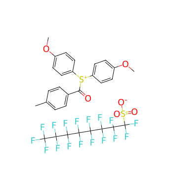 COc1ccc([S+](C(=O)c2ccc(C)cc2)c2ccc(OC)cc2)cc1.O=S(=O)([O-])C(F)(F)C(F)(F)C(F)(F)C(F)(F)C(F)(F)C(F)(F)C(F)(F)C(F)(F)F